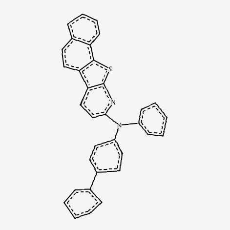 c1ccc(-c2ccc(N(c3ccccc3)c3ccc4c(n3)sc3c5ccccc5ccc43)cc2)cc1